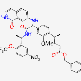 COc1cc(C(Nc2ccc3cc[nH]c(=O)c3c2)C(=O)N[C@H](C)c2cc([N+](=O)[O-])ccc2OC(F)(F)F)ccc1[C@@H](C)CCC(=O)OCc1ccccc1